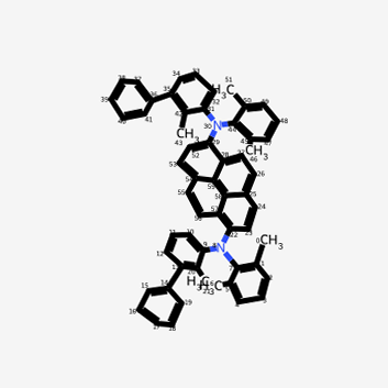 Cc1cccc(C)c1N(c1cccc(-c2ccccc2)c1C)c1ccc2ccc3c(N(c4cccc(-c5ccccc5)c4C)c4c(C)cccc4C)ccc4ccc1c2c43